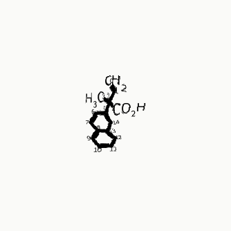 C=CC(C)(C(=O)O)c1ccc2ccccc2c1